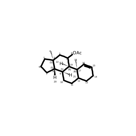 CC(=O)OC1C[C@]2(C)CCC[C@H]2[C@@H]2CCC3CCC=C[C@]3(C)[C@H]12